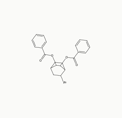 CC(C)C1CC2CCC1C(OC(=O)c1ccccc1)C2OC(=O)c1ccccc1